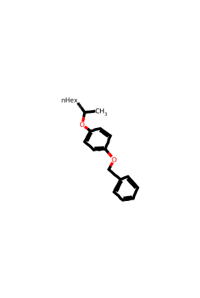 CCCCCCC(C)Oc1ccc(OCc2ccccc2)cc1